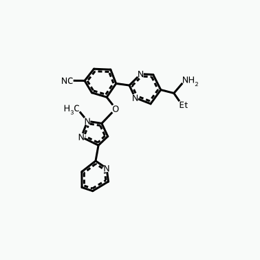 CCC(N)c1cnc(-c2ccc(C#N)cc2Oc2cc(-c3ccccn3)nn2C)nc1